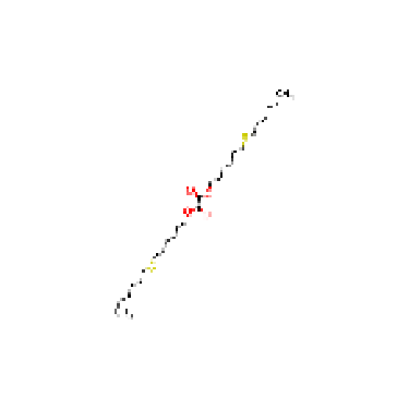 CCCCCCSCCCCCCOC(=O)C(=O)OCCCCCCSCCCCCC